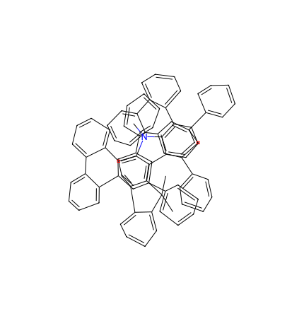 Cn1c2c(-c3ccccc3-c3ccccc3-c3cc(-c4ccccc4)cc(-c4ccccc4)c3)cccc2c2c3c(cc(-c4ccccc4-c4ccccc4-c4cc(-c5ccccc5)cc(-c5ccccc5)c4)c21)-c1ccccc1C3(C)C